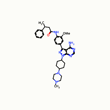 COc1cc(-c2nn(C3CCC(N4CCN(C)CC4)CC3)c3ncnc(N)c23)ccc1NC(=O)CC(C)c1ccccc1